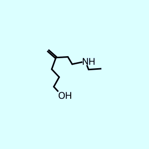 C=C(CCCO)CCNCC